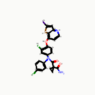 NC(=O)C1(C(=O)N(c2ccc(F)cc2)c2ccc(Oc3ccnc4cc(I)sc34)c(F)c2)CC1